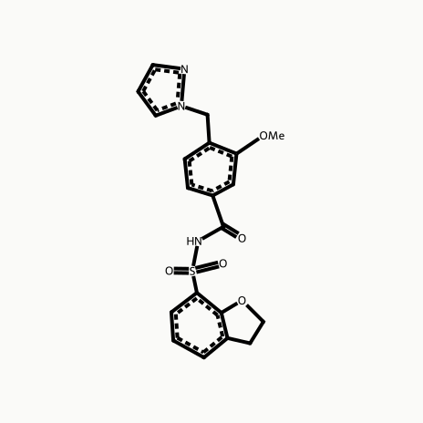 COc1cc(C(=O)NS(=O)(=O)c2cccc3c2OCC3)ccc1Cn1cccn1